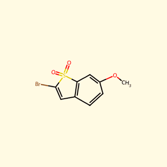 COc1ccc2c(c1)S(=O)(=O)C(Br)=C2